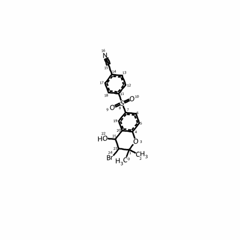 CC1(C)Oc2ccc(S(=O)(=O)c3ccc(C#N)cc3)cc2C(O)C1Br